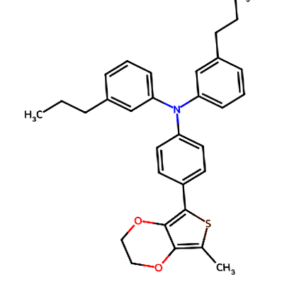 CCCc1cccc(N(c2ccc(-c3sc(C)c4c3OCCO4)cc2)c2cccc(CCC)c2)c1